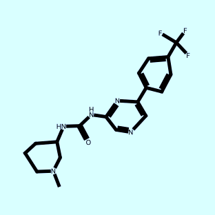 CN1CCCC(NC(=O)Nc2cncc(-c3ccc(C(F)(F)F)cc3)n2)C1